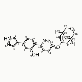 Oc1cc(-c2cn[nH]c2)ccc1-c1ccc(OC2C[C@H]3COC[C@@H](C2)N3)nn1